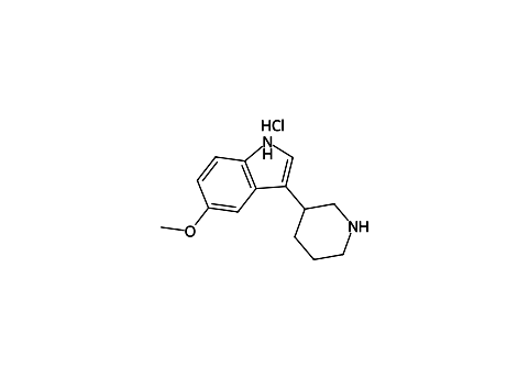 COc1ccc2[nH]cc(C3CCCNC3)c2c1.Cl